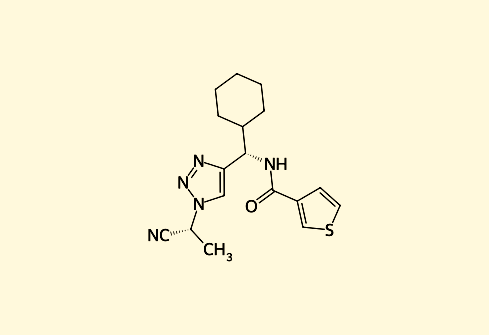 C[C@H](C#N)n1cc([C@@H](NC(=O)c2ccsc2)C2CCCCC2)nn1